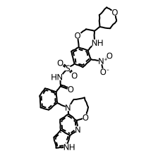 O=C(NS(=O)(=O)c1cc2c(c([N+](=O)[O-])c1)NC(C1CCOCC1)CO2)c1ccccc1N1CCCOc2nc3[nH]ccc3cc21